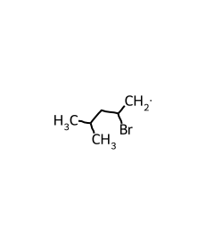 [CH2]C(Br)CC(C)C